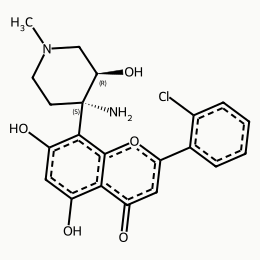 CN1CC[C@](N)(c2c(O)cc(O)c3c(=O)cc(-c4ccccc4Cl)oc23)[C@H](O)C1